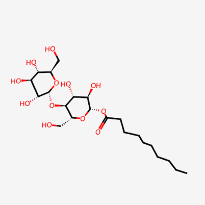 CCCCCCCCCC(=O)O[C@@H]1O[C@H](CO)[C@@H](O[C@H]2O[C@H](CO)[C@@H](O)[C@H](O)[C@H]2O)[C@H](O)[C@H]1O